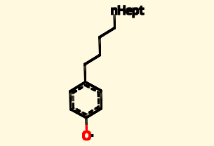 CCCCCCCCCCCc1ccc([O])cc1